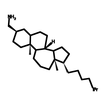 CC(C)CCCC[C@H]1CCC2[C@H]3CCC4C[C@H](CN)CC[C@]4(C)C3CCC[C@@]21C